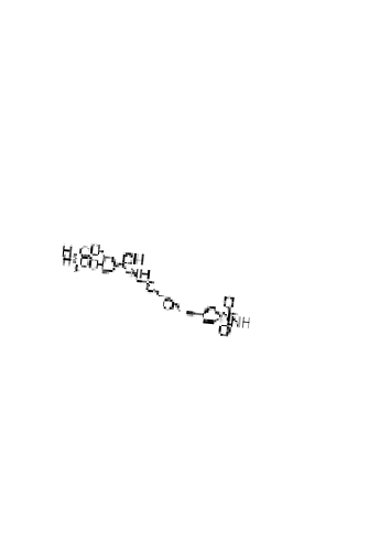 CC1(C)OCc2cc([C@H](O)CNCCCCCCOCCC#Cc3ccc(N4C(=O)CNC4=O)cc3)ccc2O1